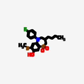 CCCCC1CN(c2ccc(F)cc2)c2cc(SC)c(O)cc2S(=O)(=O)C1